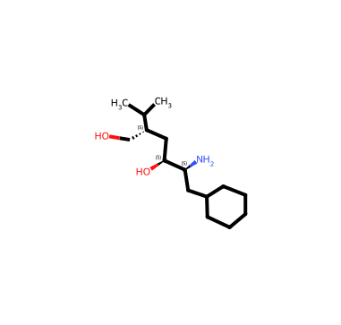 CC(C)[C@@H](CO)C[C@H](O)[C@@H](N)CC1CCCCC1